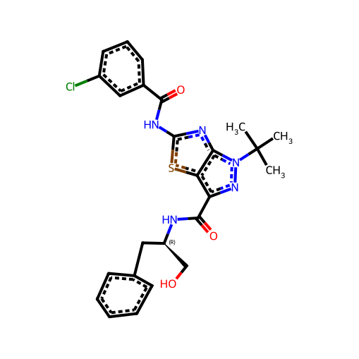 CC(C)(C)n1nc(C(=O)N[C@@H](CO)Cc2ccccc2)c2sc(NC(=O)c3cccc(Cl)c3)nc21